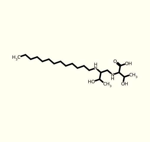 CCCCCCCCCCCCCNC(CNC(C(=O)O)C(C)O)C(C)O